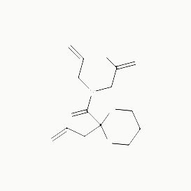 C=CCN(CC(=C)O)C(=O)C1(CC=C)SCCCS1